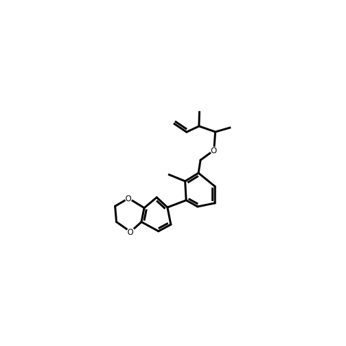 C=CC(C)C(C)OCc1cccc(-c2ccc3c(c2)OCCO3)c1C